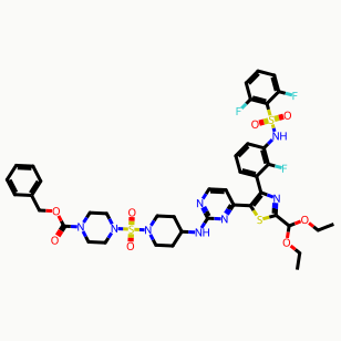 CCOC(OCC)c1nc(-c2cccc(NS(=O)(=O)c3c(F)cccc3F)c2F)c(-c2ccnc(NC3CCN(S(=O)(=O)N4CCN(C(=O)OCc5ccccc5)CC4)CC3)n2)s1